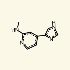 CNc1cc(-c2c[nH]cn2)ccn1